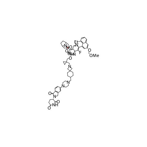 CCc1cccc2cc(OCOC)cc(-c3ncc4c(N5CC6CCC(C5)N6C(=O)OC(C)(C)C)nc(OCC5(CN6CC7(CCC(CN8CCN(c9ccc%10c(c9)CN([C@H]9CCC(=O)NC9=O)C%10=O)CC8)CC7)C6)CC5)nc4c3F)c12